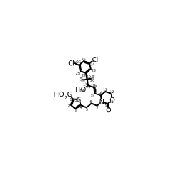 O=C(O)c1ccc(CCCN2C(=O)OCC[C@@H]2C=C[C@@H](O)C(F)(F)c2cc(Cl)cc(Cl)c2)s1